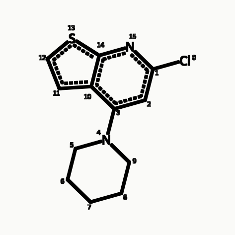 Clc1cc(N2CCCCC2)c2ccsc2n1